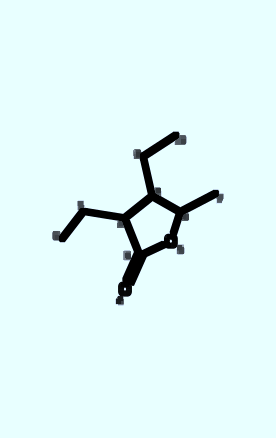 CCC1C(=O)OC(C)C1CC